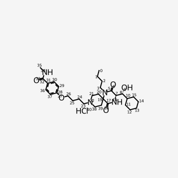 CCCCN1C(=O)[C@@H]([C@H](O)C2CCCCC2)NC(=O)C12CCN(CCCCOc1ccc(C(=O)NC)cc1)CC2.Cl